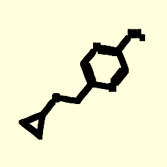 Nc1cnc(COC2CC2)cn1